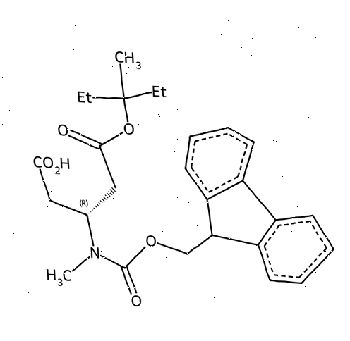 CCC(C)(CC)OC(=O)C[C@@H](CC(=O)O)N(C)C(=O)OCC1c2ccccc2-c2ccccc21